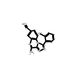 C#Cc1ccc2c(c1)nc(C)c1nnc(-c3ccccc3Cl)n12